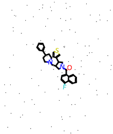 O=C(c1ccc(F)c2ccccc12)N1CC(CN2CCC(c3ccccc3)CC2)C(c2ccsc2)C1